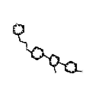 Cc1cc(-c2ccc(SCCc3ccncc3)cc2)ccc1-c1ccc(I)cc1